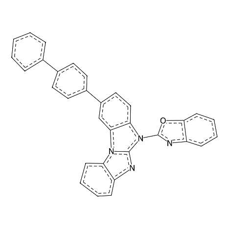 c1ccc(-c2ccc(-c3ccc4c(c3)n3c5ccccc5nc3n4-c3nc4ccccc4o3)cc2)cc1